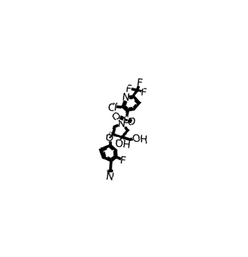 N#Cc1ccc(O[C@H]2CN(S(=O)(=O)c3ccc(C(F)(F)F)nc3Cl)C[C@@]2(O)CO)cc1F